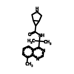 Cc1cccc2c(C(C)(C)NC(=O)C3C4CNCC43)ncnc12